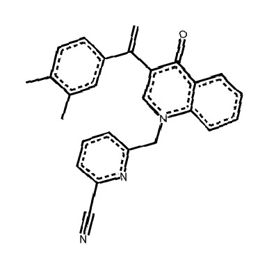 C=C(c1ccc(C)c(C)c1)c1cn(Cc2cccc(C#N)n2)c2ccccc2c1=O